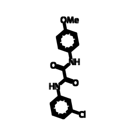 COc1ccc(NC(=O)C(=O)Nc2cccc(Cl)c2)cc1